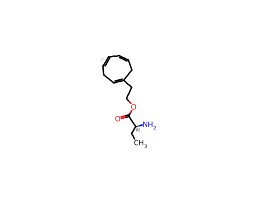 CC[C@H](N)C(=O)OCCC1=CC/C=C\C=CC1